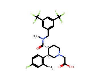 Cc1cc(F)ccc1[C@@H]1CN(CC(=O)O)CC[C@H]1C(=O)N(C)Cc1cc(C(F)(F)F)cc(C(F)(F)F)c1